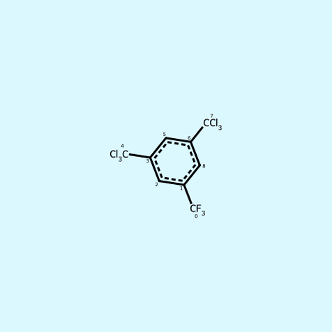 FC(F)(F)c1cc(C(Cl)(Cl)Cl)cc(C(Cl)(Cl)Cl)c1